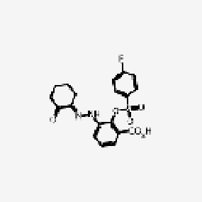 O=C1CCCCC1=NNc1cccc(C(=O)O)c1OS(=O)(=O)c1ccc(F)cc1